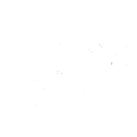 CC(=O)OC(C)(C)C(=O)n1nc(C(C)c2cc(C)c(C(=O)c3ccc(Cl)cc3)[nH]2)ccc1=O